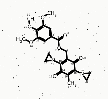 COc1cc(C(=O)OCC2=C(N3CC3)C(=O)C(C)=C(N3CC3)C2=O)cc(OC)c1OC